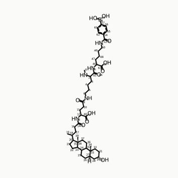 CNC(CCCCNC(=O)CCC(NC(=O)CCC(C)C1CCC2C3CC[C@H]4C[C@@H](O)CC[C@@]4(C)C3CC[C@@]12C)C(=O)O)C(=O)NC(CCCCNC(=O)c1ccc(B(O)O)cc1)C(=O)O